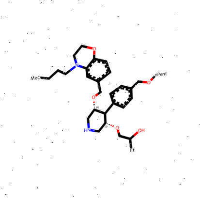 CCCCCOCc1ccc(C2[C@@H](OCc3ccc4c(c3)N(CCCOC)CCO4)CNC[C@H]2OCC(O)CC)cc1